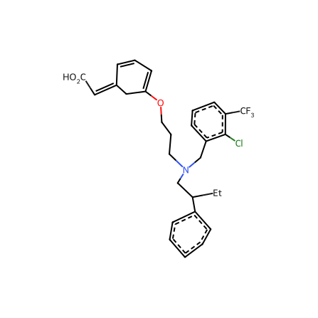 CCC(CN(CCCOC1=CC=CC(=CC(=O)O)C1)Cc1cccc(C(F)(F)F)c1Cl)c1ccccc1